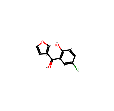 O=C(c1ccoc1)c1cc(Cl)ccc1O